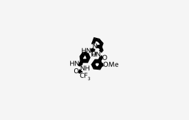 COc1ccccc1C(=O)NCC1CCCCN1C(=O)Nc1ccc(C(=N)NC(=O)C(F)(F)F)cc1